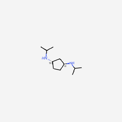 CC(C)N[C@H]1CC[C@H](NC(C)C)C1